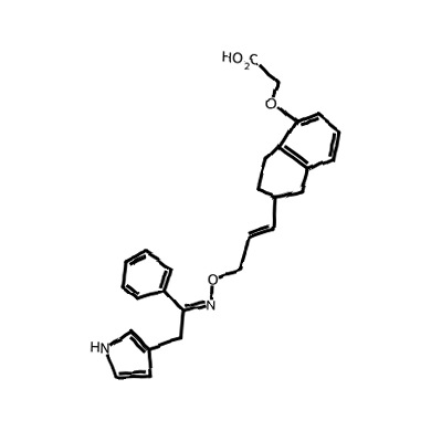 O=C(O)COc1cccc2c1CCC(C=CCON=C(Cc1cc[nH]c1)c1ccccc1)C2